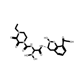 CCN1CCN(C(=O)NC(B(O)O)C(=O)N[C@H]2Cc3cccc(C(=O)O)c3OB2O)C(=O)C1=O